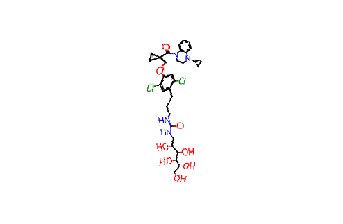 O=C(NCCCc1cc(Cl)c(OCC2(C(=O)N3CCN(C4CC4)c4ccccc43)CC2)cc1Cl)NC[C@H](O)[C@@H](O)[C@H](O)[C@H](O)CO